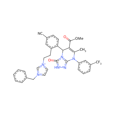 COC(=O)C1=C(C)N(c2cccc(C(F)(F)F)c2)c2n[nH]c(=O)n2C1c1ccc(C#N)cc1CC[n+]1ccn(Cc2ccccc2)c1